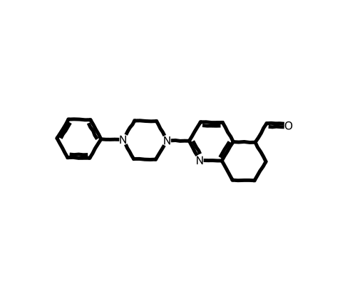 O=CC1CCCc2nc(N3CCN(c4ccccc4)CC3)ccc21